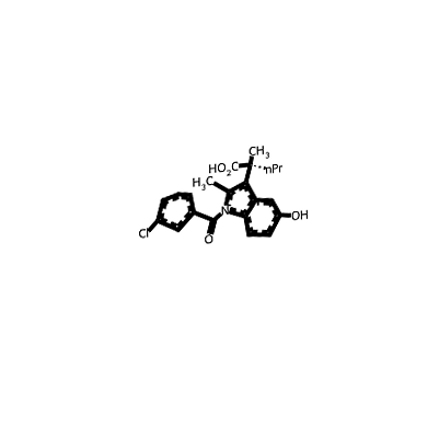 CCC[C@@](C)(C(=O)O)c1c(C)n(C(=O)c2cccc(Cl)c2)c2ccc(O)cc12